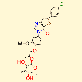 C=C1[C@@H](O)[C@@H](OC(C)COc2ccc(-n3cnc4cc(-c5ccc(Cl)cc5)sc4c3=O)cc2OC)O[C@H](C)[C@H]1O